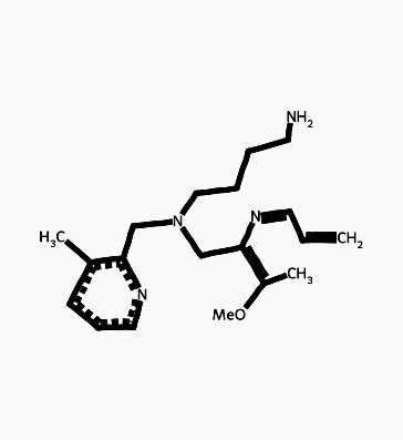 C=C/C=N\C(CN(CCCCN)Cc1ncccc1C)=C(/C)OC